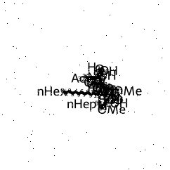 CCCCCC/C=C/CCCCCCCCCC(=O)NC1C(OCC2OC(OP(=O)(O)O)C(NC(=O)CC(C)=O)C(OCCCCCCCCCC)C2O)OC(COC)C(OP(=O)(O)O)C1OCCC(CCCCCCC)OC